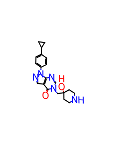 O=c1c2cnn(-c3ccc(C4CC4)cc3)c2ncn1CC1(O)CCNCC1